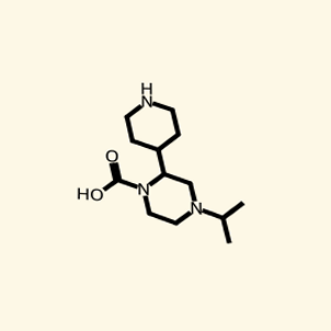 CC(C)N1CCN(C(=O)O)C(C2CCNCC2)C1